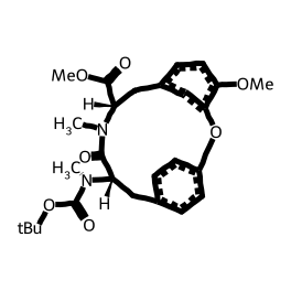 COC(=O)[C@@H]1Cc2ccc(OC)c(c2)Oc2ccc(cc2)C[C@H](N(C)C(=O)OC(C)(C)C)C(=O)N1C